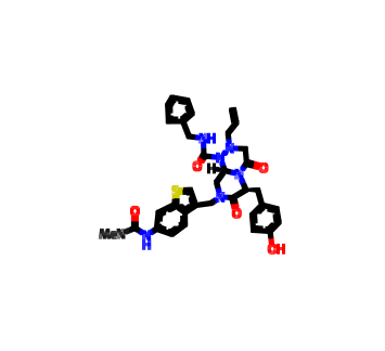 C=CCN1CC(=O)N2[C@@H](Cc3ccc(O)cc3)C(=O)N(Cc3csc4cc(NC(=O)NC)ccc34)C[C@@H]2N1C(=O)NCc1ccccc1